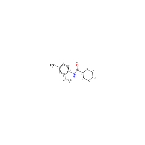 O=C(O)c1cc(C(F)(F)F)ccc1NC(=O)C1CCCCC1